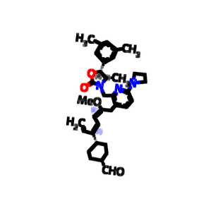 C=C/C(=C\C=C(/Cc1ccc(N2CCC2)nc1CN1C(=O)O[C@H](c2cc(C)cc(C)c2)[C@@H]1C)OC)[C@H]1CC[C@H](C=O)CC1